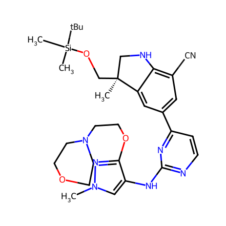 Cn1cc(Nc2nccc(-c3cc(C#N)c4c(c3)[C@@](C)(CO[Si](C)(C)C(C)(C)C)CN4)n2)c(OCCN2CCOCC2)n1